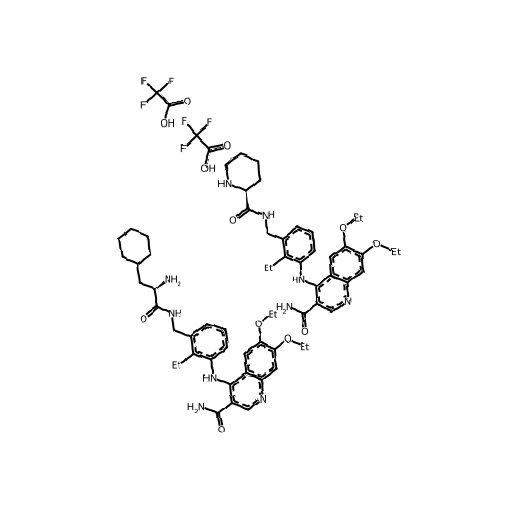 CCOc1cc2ncc(C(N)=O)c(Nc3cccc(CNC(=O)[C@@H]4CCCCN4)c3CC)c2cc1OCC.CCOc1cc2ncc(C(N)=O)c(Nc3cccc(CNC(=O)[C@H](N)CC4CCCCC4)c3CC)c2cc1OCC.O=C(O)C(F)(F)F.O=C(O)C(F)(F)F